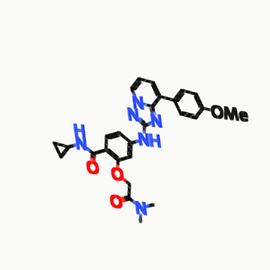 COc1ccc(-c2cccn3nc(Nc4ccc(C(=O)NC5CC5)c(OCC(=O)N(C)C)c4)nc23)cc1